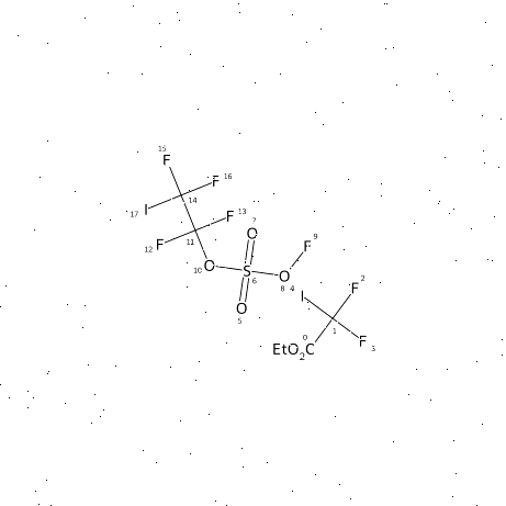 CCOC(=O)C(F)(F)I.O=S(=O)(OF)OC(F)(F)C(F)(F)I